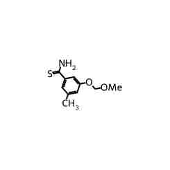 COCOc1cc(C)cc(C(N)=S)c1